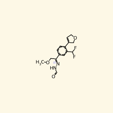 COC/C(=N\NC=O)c1ccc(C2=CCOC2)c(C(F)F)c1